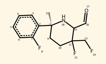 C[C@@]1(c2ccccc2F)CCC(F)(CF)C(C=O)N1